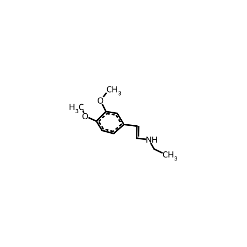 CCNC=Cc1ccc(OC)c(OC)c1